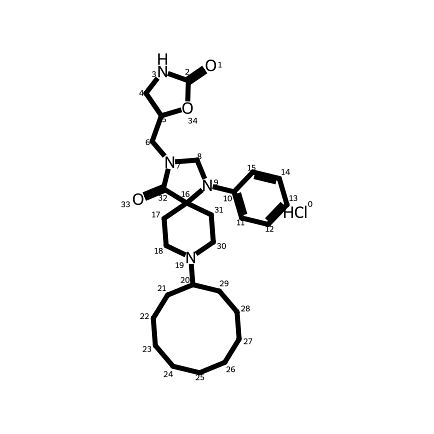 Cl.O=C1NCC(CN2CN(c3ccccc3)C3(CCN(C4CCCCCCCCC4)CC3)C2=O)O1